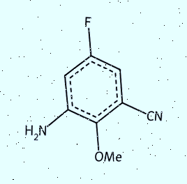 COc1c(N)cc(F)cc1C#N